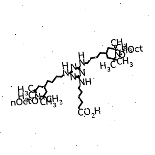 CCCCCCCCON1C(C)(C)CC(CCCCNc2nc(NCCCCCC(=O)O)nc(NCCCCC3CC(C)(C)N(OCCCCCCCC)C(C)(C)C3)n2)CC1(C)C